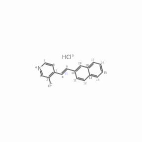 Cl.Fc1cnccc1/C=C/c1ccc2ccccc2c1